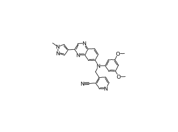 COc1cc(OC)cc(N(Cc2ccncc2C#N)c2ccc3ncc(-c4cnn(C)c4)nc3c2)c1